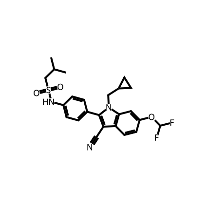 CC(C)CS(=O)(=O)Nc1ccc(-c2c(C#N)c3ccc(OC(F)F)cc3n2CC2CC2)cc1